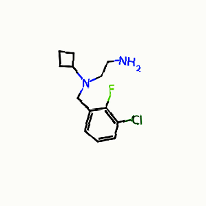 NCCN(Cc1cccc(Cl)c1F)C1CCC1